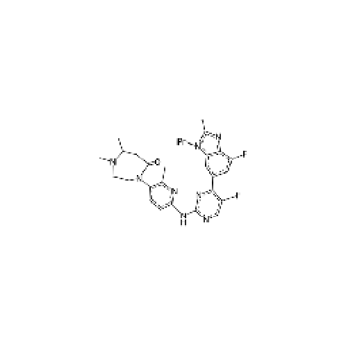 Cc1nc(Nc2ncc(F)c(-c3cc(F)c4nc(C)n(C(C)C)c4c3)n2)ccc1N1CCN(C)C(C)CC1=O